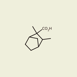 CC1C2CCC(C2)C1(C)C(=O)O